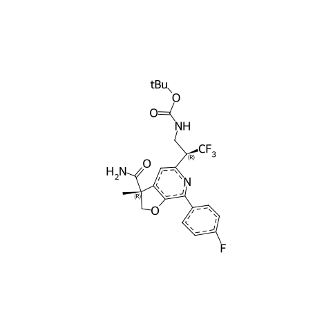 CC(C)(C)OC(=O)NC[C@H](c1cc2c(c(-c3ccc(F)cc3)n1)OC[C@]2(C)C(N)=O)C(F)(F)F